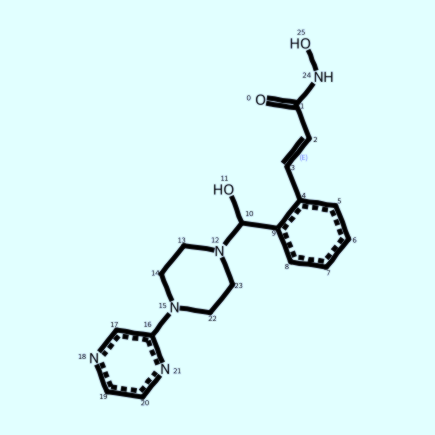 O=C(/C=C/c1ccccc1C(O)N1CCN(c2cnccn2)CC1)NO